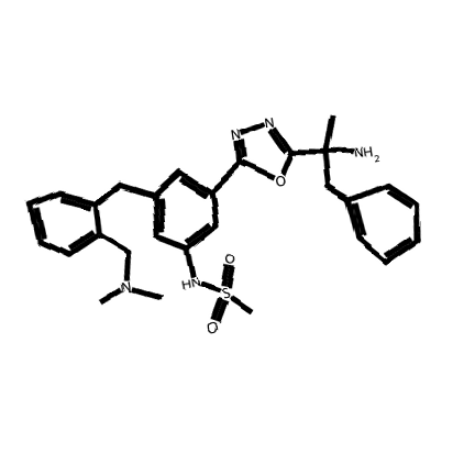 CN(C)Cc1ccccc1Cc1cc(NS(C)(=O)=O)cc(-c2nnc(C(C)(N)Cc3ccccc3)o2)c1